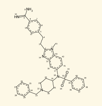 Cn1c(CCc2ccc(C(=N)N)cc2)nc2cc(N(C3CCN(Cc4ccccc4)CC3)S(=O)(=O)c3ccccc3)ccc21